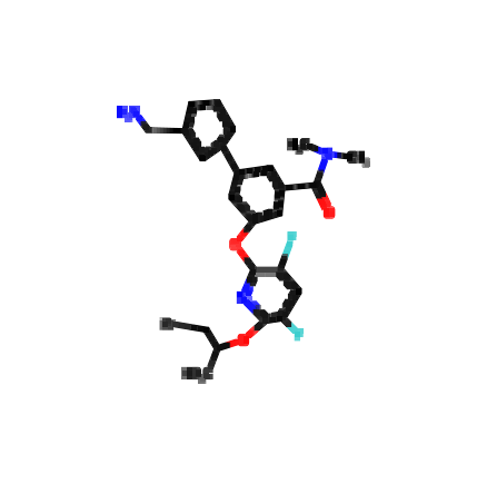 CC(C)CC(Oc1nc(Oc2cc(C(=O)N(C)C)cc(-c3cccc(CN)c3)c2)c(F)cc1F)C(=O)O